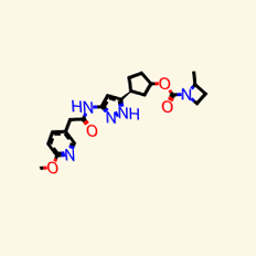 COc1ccc(CC(=O)Nc2cc([C@H]3CCC(OC(=O)N4CCC4C)C3)[nH]n2)cn1